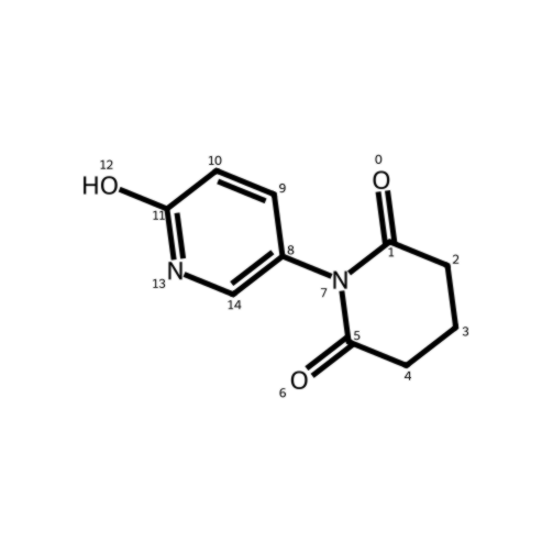 O=C1CCCC(=O)N1c1ccc(O)nc1